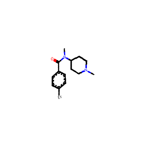 CCc1ccc(C(=O)N(C)C2CCN(C)CC2)cc1